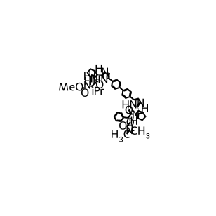 COC(=O)N[C@H](C(=O)N1[C@@H]2CC[C@@H](C2)[C@H]1c1ncc(-c2ccc(-c3ccc(-c4cnc([C@@H]5[C@H]6CC[C@H](C6)N5C(=O)[C@H](OC(=O)N(C)C)c5ccccc5)[nH]4)cc3)cc2)[nH]1)C(C)C